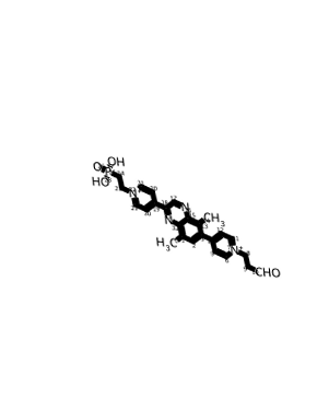 Cc1cc(-c2cc[n+](CCC=O)cc2)c(C)c2ncc(-c3cc[n+](CCP(=O)(O)O)cc3)nc12